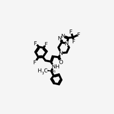 C[C@@H](NC(=CC(=O)N1CCn2c(nnc2C(F)(F)F)C1)Cc1cc(F)c(F)cc1F)c1ccccc1